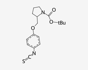 CC(C)(C)OC(=O)N1CCCC1COc1ccc(N=C=S)cc1